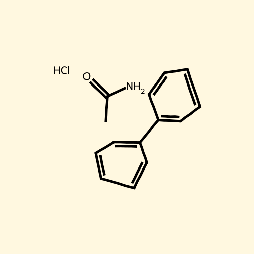 CC(N)=O.Cl.c1ccc(-c2ccccc2)cc1